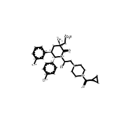 CCC(CN1CCN(C(=O)C2CC2)CC1)N1C(=O)[C@@](C)(CC(=O)O)C[C@H](c2cccc(Cl)c2)[C@H]1c1ccc(Cl)cc1